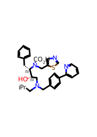 CC(C)CN(Cc1ccc(-c2ccccn2)cc1)C[C@H](O)[C@H](Cc1ccccc1)N(Cc1cncs1)C(=O)O